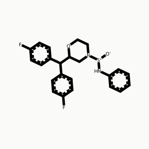 [O-][S+](Nc1ccccc1)N1CCOC(C(c2ccc(F)cc2)c2ccc(F)cc2)C1